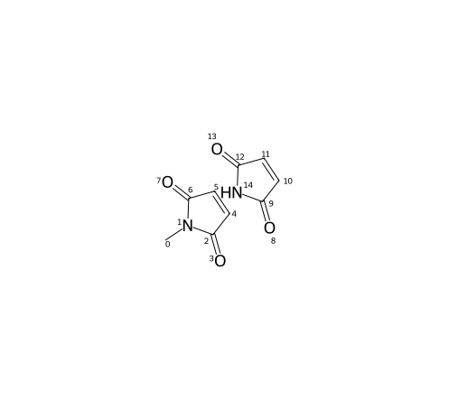 CN1C(=O)C=CC1=O.O=C1C=CC(=O)N1